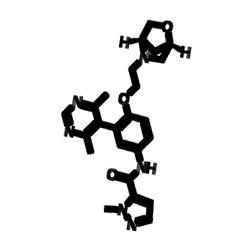 Cc1ncnc(C)c1-c1cc(NC(=O)c2ccnn2C)ccc1OCCN1C[C@@H]2C[C@H]1CO2